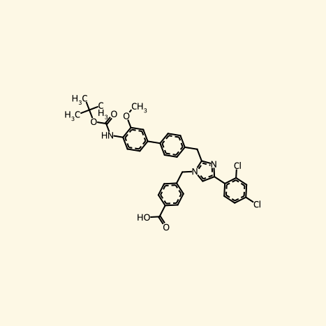 COc1cc(-c2ccc(Cc3nc(-c4ccc(Cl)cc4Cl)cn3Cc3ccc(C(=O)O)cc3)cc2)ccc1NC(=O)OC(C)(C)C